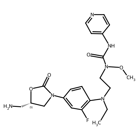 CCN(CCN(OC)C(=O)Nc1ccncc1)c1ccc(N2C[C@H](CN)OC2=O)cc1F